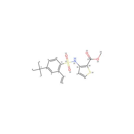 C=Cc1cc(C(C)(C)C)ccc1S(=O)(=O)Nc1ccsc1C(=O)OC